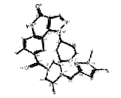 Cc1cc2[nH]c(=O)c3cnn(C4CCOCC4)c3c2cc1C(=O)N1CCN(Cc2cc(C)n(C)n2)[C@@H](C)C1